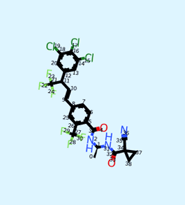 C[C@@H](NC(=O)c1ccc(/C=C/C(c2cc(Cl)c(Cl)c(Cl)c2)C(F)(F)F)cc1C(F)(F)F)NC(=O)C1(C#N)CC1